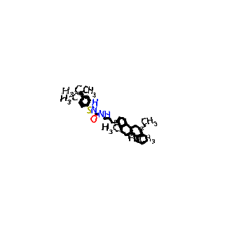 CC[C@H]1CC2C3CC[C@H](CCCNC(=O)NSc4ccc(C(C)(C)C)cc4)C3(C)CC[C@@H]2C2(C)CCCCC12